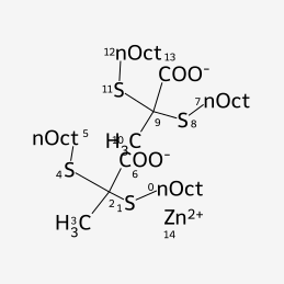 CCCCCCCCSC(C)(SCCCCCCCC)C(=O)[O-].CCCCCCCCSC(C)(SCCCCCCCC)C(=O)[O-].[Zn+2]